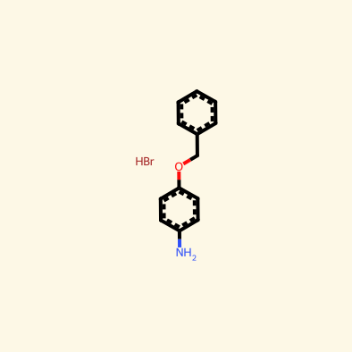 Br.Nc1ccc(OCc2ccccc2)cc1